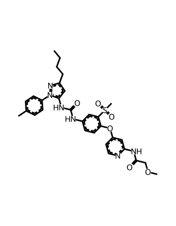 CCCCc1cc(NC(=O)Nc2ccc(Oc3ccnc(NC(=O)COC)c3)c(S(C)(=O)=O)c2)n(-c2ccc(C)cc2)n1